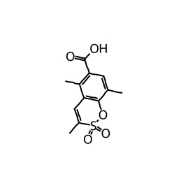 CC1=Cc2c(C)c(C(=O)O)cc(C)c2OS1(=O)=O